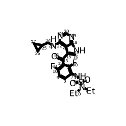 CCN(CC)S(=O)(=O)Nc1ccc(F)c(C(=O)c2c[nH]c3ncnc(NCC4CC4)c23)c1F